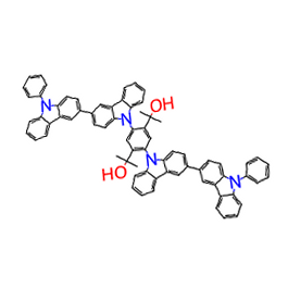 CC(C)(O)c1cc(-n2c3ccccc3c3cc(-c4ccc5c(c4)c4ccccc4n5-c4ccccc4)ccc32)c(C(C)(C)O)cc1-n1c2ccccc2c2cc(-c3ccc4c(c3)c3ccccc3n4-c3ccccc3)ccc21